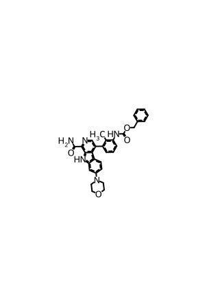 Cc1c(NC(=O)OCc2ccccc2)cccc1-c1cnc(C(N)=O)c2[nH]c3cc(N4CCOCC4)ccc3c12